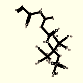 C=CC(=O)OC(C)CC(=O)OC(CS(=O)(=O)O)(C(F)(F)F)C(F)(F)F